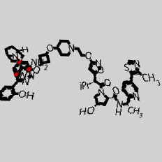 Cc1ncsc1-c1ccc([C@H](C)NC(=O)[C@@H]2C[C@@H](O)CN2C(=O)[C@@H](c2cc(OCCN3CCC(OC4CC(Oc5cc(N6C7CC[C@@H]6CN(c6cc(-c8ccccc8O)nnc6N)C7)ccn5)C4)CC3)no2)C(C)C)nc1